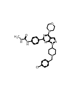 CNC(=O)Nc1ccc(-c2nc(N3CCOCC3)c3cnn(C4CCN(Cc5ccc(Cl)cc5)CC4)c3n2)cc1